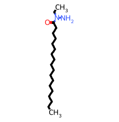 CCCCCCCCCCCCCCCCCC(=O)N(N)CC